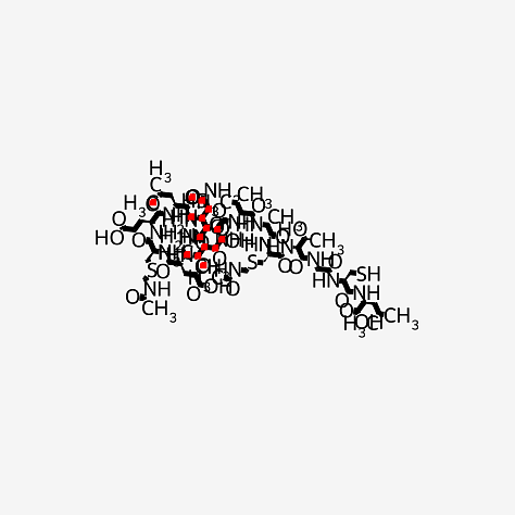 CC(=O)NCSC[C@H](NC(=O)[C@H](C)NC(=O)[C@@H](NC(=O)[C@H](CC(N)=O)NC(=O)[C@@H](NC(=O)[C@H](CS)NC(=O)[C@H](CC(C)C)NC(=O)[C@H](CCC(=O)O)NC(=O)[C@H](CSCNC(C)=O)NC(=O)[C@H](CCC(=O)O)NC(=O)[C@H](CC(=O)O)NC(=O)[C@@H](N)CC(N)=O)C(C)C)C(C)C)C(=O)N[C@H](C(=O)NCC(=O)N[C@@H](CS)C(=O)N[C@@H](CC(C)C)C(=O)O)[C@@H](C)O